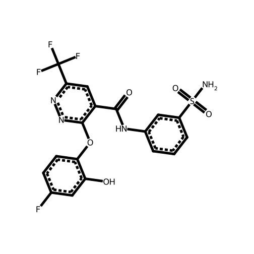 NS(=O)(=O)c1cccc(NC(=O)c2cc(C(F)(F)F)nnc2Oc2ccc(F)cc2O)c1